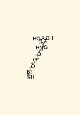 N=[N+]=NCCOCCOCCOCCNC(=O)c1cc(O)cc(O)c1